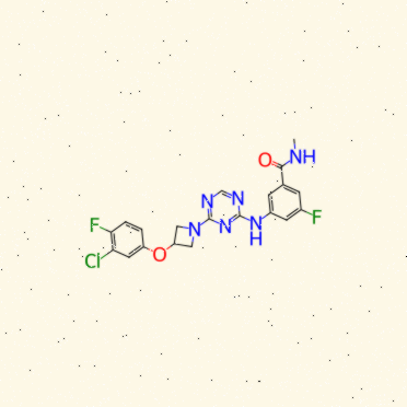 CNC(=O)c1cc(F)cc(Nc2ncnc(N3CC(Oc4ccc(F)c(Cl)c4)C3)n2)c1